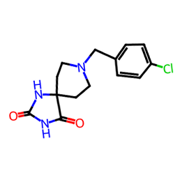 O=C1NC(=O)C2(CCN(Cc3ccc(Cl)cc3)CC2)N1